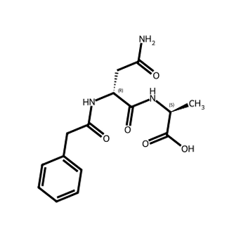 C[C@H](NC(=O)[C@@H](CC(N)=O)NC(=O)Cc1ccccc1)C(=O)O